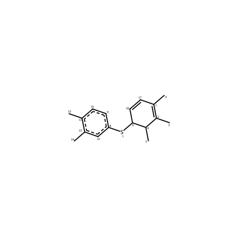 CC1=C(C)C(C)C(Sc2ccc(C)c(C)c2)C=C1